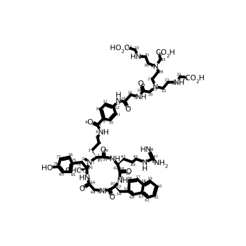 CN1[C@H](CCCNC(=O)c2ccc(NC(=O)CNC(=O)CN(CCNCC(=O)O)CCN(CCNCC(=O)O)CC(=O)O)cc2)C(=O)N[C@@H](CCCNC(=N)N)C(=O)N[C@@H](Cc2ccc3ccccc3c2)C(=O)NCC(=O)N[C@]1(C=O)Cc1ccc(O)cc1